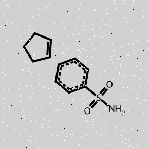 C1=CCCC1.NS(=O)(=O)c1ccccc1